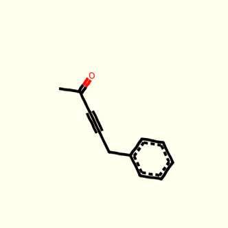 CC(=O)C#CCc1ccccc1